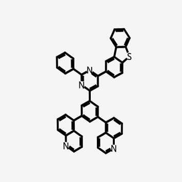 c1ccc(-c2nc(-c3cc(-c4cccc5ncccc45)cc(-c4cccc5ncccc45)c3)cc(-c3ccc4sc5ccccc5c4c3)n2)cc1